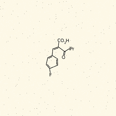 CC(C)C(=O)C(=Cc1ccc(F)cc1)C(=O)O